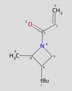 C=CC(=O)N1CC(C(C)(C)C)C1C